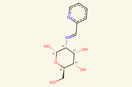 OC[C@H]1O[C@H](O)[C@H](N=Cc2ccccn2)[C@H](O)[C@@H]1O